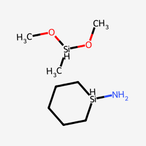 CO[SiH](C)OC.N[SiH]1CCCCC1